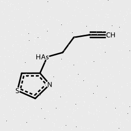 C#CCC[AsH]c1cscn1